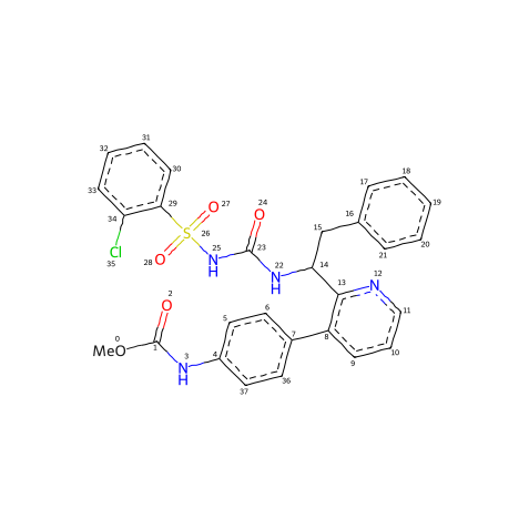 COC(=O)Nc1ccc(-c2cccnc2C(Cc2ccccc2)NC(=O)NS(=O)(=O)c2ccccc2Cl)cc1